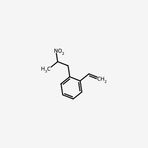 C=Cc1ccccc1CC(C)[N+](=O)[O-]